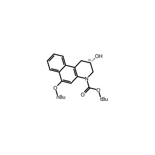 CCCCOc1cc2c(c3ccccc13)C[C@H](O)CN2C(=O)OC(C)(C)C